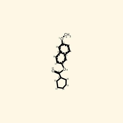 COc1ccc2cc(OC(=O)C3CCCCC3)ccc2c1